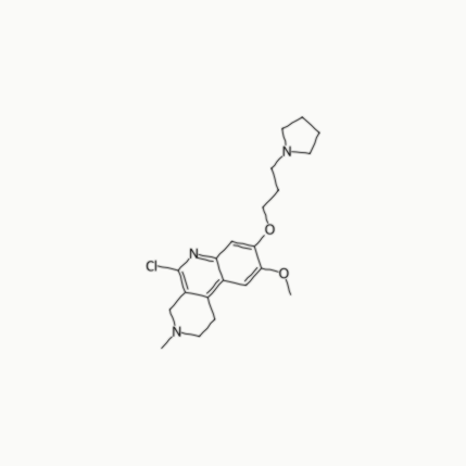 COc1cc2c3c(c(Cl)nc2cc1OCCCN1CCCC1)CN(C)CC3